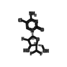 Nc1nc(=O)n([C@@H]2O[C@@](CO)(C(F)F)C(O)C2F)cc1Cl